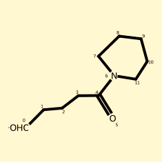 O=[C]CCCC(=O)N1CCCCC1